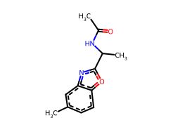 CC(=O)NC(C)c1nc2cc(C)ccc2o1